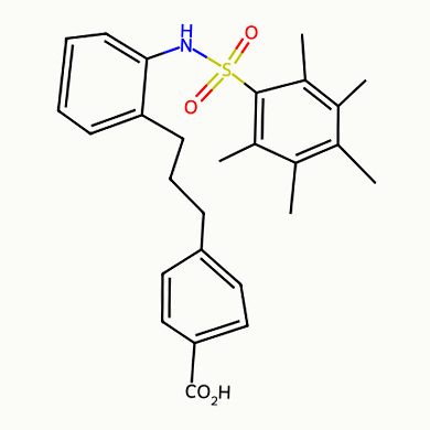 Cc1c(C)c(C)c(S(=O)(=O)Nc2ccccc2CCCc2ccc(C(=O)O)cc2)c(C)c1C